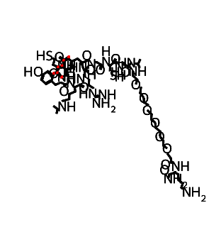 CC(=O)NC(CCS)C(=O)NC(Cc1ccc(O)cc1)C(=O)NC(CCCCNC(C)C)C(=O)N[C@H](CCCNC(=N)N)C(=O)NC(Cc1ccc2ccccc2c1)C(=O)NCC(=O)NC(CS)C(=O)NCC(O)(NCCOCCOCCOCCOCCOCCOCCC(=O)NC(CCCCN)C(N)=O)NC(C)C